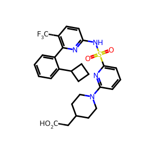 O=C(O)CC1CCN(c2cccc(S(=O)(=O)Nc3ccc(C(F)(F)F)c(-c4ccccc4C4CCC4)n3)n2)CC1